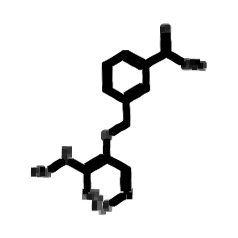 CCCCN/C(N)=C(/C=N\C)OCc1cccc(C(=O)OC)c1